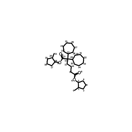 CC1CCCC1OC(=O)CCCC(C(=O)OC1CCCC1C)(C1CCCCCC1)C1CCCCCC1